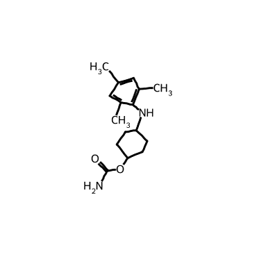 Cc1cc(C)c(NC2CCC(OC(N)=O)CC2)c(C)c1